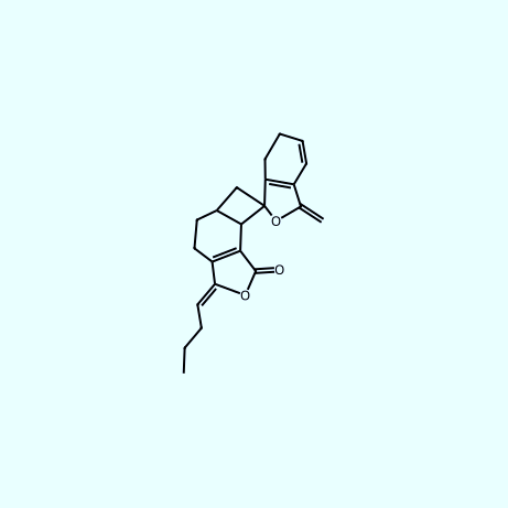 C=C1OC2(CC3CCC4=C(C(=O)O/C4=C\CCC)C32)C2=C1C=CCC2